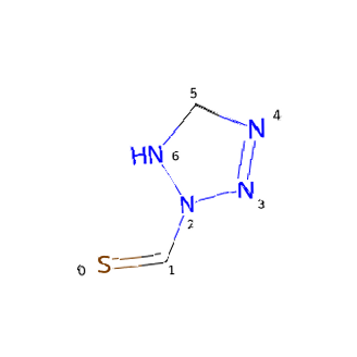 S=CN1N=NCN1